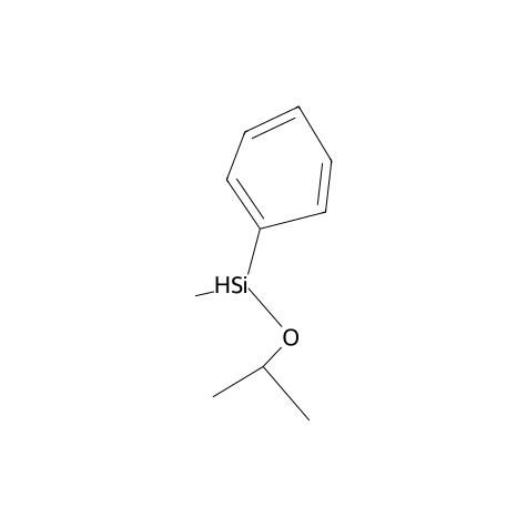 CC(C)O[SiH](C)c1ccccc1